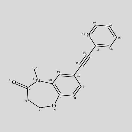 CN1C(=O)CCOc2ccc(C#Cc3ccccn3)cc21